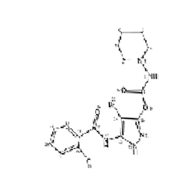 O=C(NN1CCCCC1)Oc1n[nH]c(NC(=O)c2ccccc2Cl)c1Br